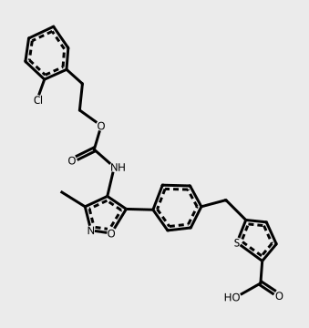 Cc1noc(-c2ccc(Cc3ccc(C(=O)O)s3)cc2)c1NC(=O)OCCc1ccccc1Cl